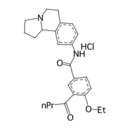 CCCC(=O)c1cc(C(=O)Nc2ccc3c(c2)C2CCCN2CC3)ccc1OCC.Cl